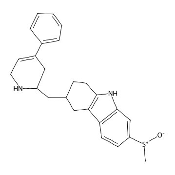 C[S+]([O-])c1ccc2c3c([nH]c2c1)CCC(CC1CC(c2ccccc2)=CCN1)C3